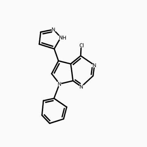 Clc1ncnc2c1c(-c1ccn[nH]1)cn2-c1ccccc1